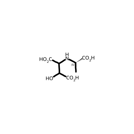 C[C@H](NC(C(=O)O)C(O)C(=O)O)C(=O)O